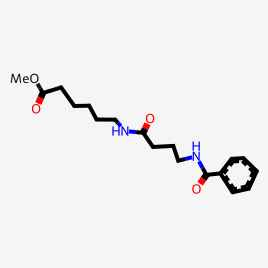 COC(=O)CCCCCNC(=O)CCCNC(=O)c1ccccc1